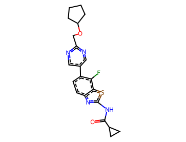 O=C(Nc1nc2ccc(-c3cnc(COC4CCCC4)nc3)c(F)c2s1)C1CC1